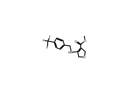 COC(=O)C1=C(NCc2ccc(C(F)(F)F)cc2)COC1